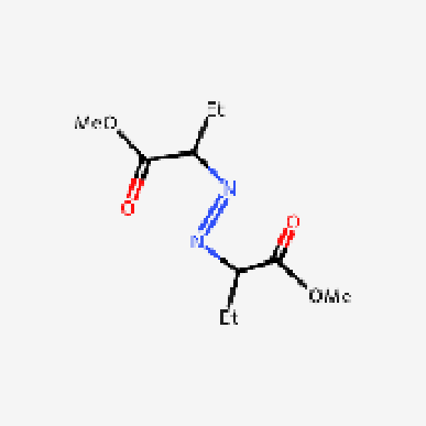 CCC(/N=N/C(CC)C(=O)OC)C(=O)OC